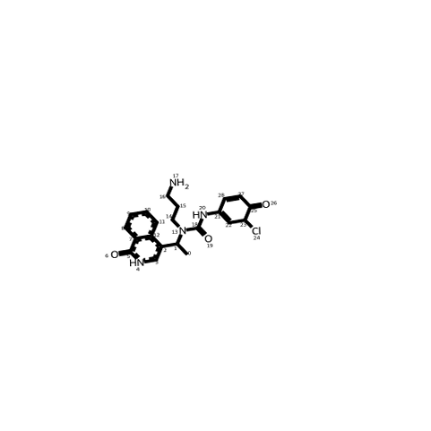 CC(c1c[nH]c(=O)c2ccccc12)N(CCCN)C(=O)NC1=CC(Cl)C(=O)C=C1